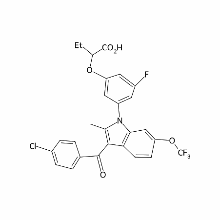 CCC(Oc1cc(F)cc(-n2c(C)c(C(=O)c3ccc(Cl)cc3)c3ccc(OC(F)(F)F)cc32)c1)C(=O)O